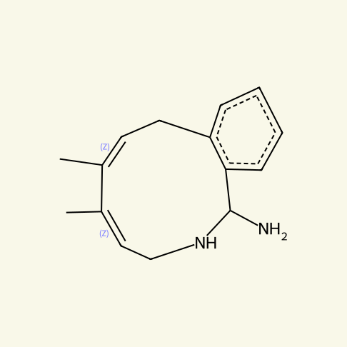 CC1=C/CNC(N)c2ccccc2C/C=C\1C